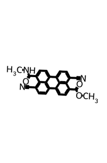 CNC(=O)c1ccc2c3ccc(C#N)c4c(C(=O)OC)ccc(c5ccc(C#N)c1c25)c43